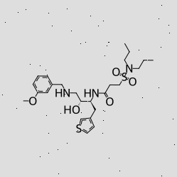 CCCN(CCC)S(=O)(=O)CCC(=O)N[C@@H](Cc1ccsc1)[C@H](O)CNCc1cccc(OC)c1